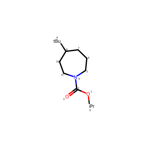 CC(C)OC(=O)N1CCCC(C(C)(C)C)CC1